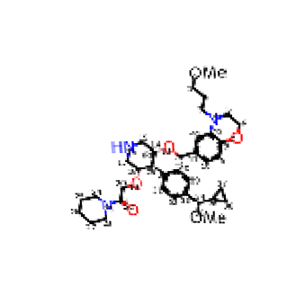 COCCCN1CCOc2ccc(CO[C@H]3CNC[C@@H](OCC(=O)N4CCCCC4)[C@@H]3c3ccc(C(OC)C4CC4)cc3)cc21